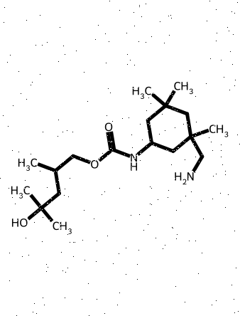 CC(COC(=O)NC1CC(C)(C)CC(C)(CN)C1)CC(C)(C)O